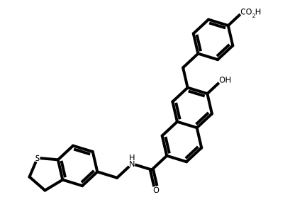 O=C(O)c1ccc(Cc2cc3cc(C(=O)NCc4ccc5c(c4)CCS5)ccc3cc2O)cc1